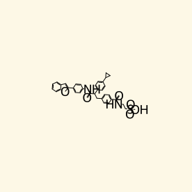 O=C(NCCS(=O)(=O)O)c1ccc(CC(C(=O)Nc2ccc(-c3cc4ccccc4o3)cc2)c2ccc(C3CC3)cc2)cc1